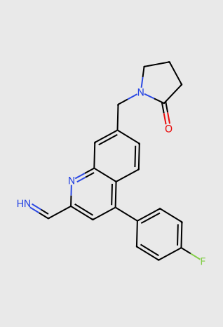 N=Cc1cc(-c2ccc(F)cc2)c2ccc(CN3CCCC3=O)cc2n1